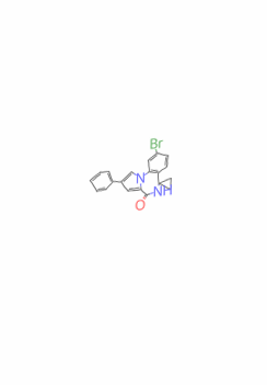 O=C1NC2(CC2)c2ccc(Br)cc2-n2cc(-c3ccccc3)cc21